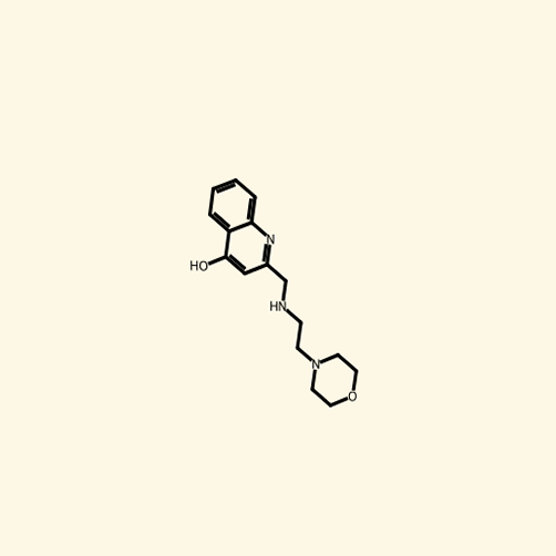 Oc1cc(CNCCN2CCOCC2)nc2ccccc12